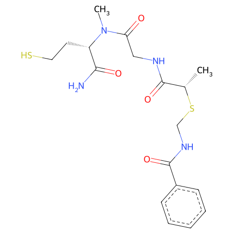 C[C@H](SCNC(=O)c1ccccc1)C(=O)NCC(=O)N(C)[C@@H](CCS)C(N)=O